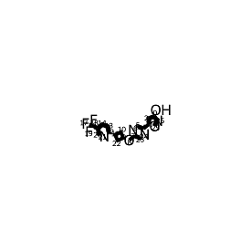 Oc1cc(-c2cnc(O[C@H]3C[C@@H](c4ccc(C(F)(F)F)cn4)C3)cn2)on1